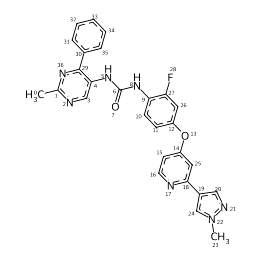 Cc1ncc(NC(=O)Nc2ccc(Oc3ccnc(-c4cnn(C)c4)c3)cc2F)c(-c2ccccc2)n1